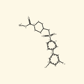 CC(C)(C)OC(=O)N1CCC(CS(=O)(=O)c2ccc(-c3cc(F)cc(F)c3)cc2)CC1